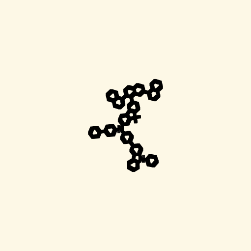 CC1(C)c2ccc(-c3c(-c4cccc5ccccc45)ccc4ccc(-c5cccc6ccccc56)cc34)cc2-c2ccc(N(c3ccc(-c4ccccc4)cc3)c3ccc(-c4ccc5c(c4)c4ccccc4n5-c4ccccc4)cc3)cc21